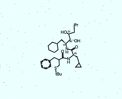 CC(C)C[C@H](O)[C@H](O)[C@H](CC1CCCCC1)NC(=O)[C@@H](CC1CC1)NC(=O)C(CSC(C)(C)C)Cc1ccccc1